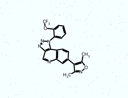 Cc1noc(C)c1-c1ccc2c(c1)ncc1nnn(-c3ccccc3OC(F)(F)F)c12